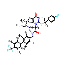 [2H]c1c([2H])c(-c2c([2H])c([2H])c(C(F)(F)F)c(C)c2[2H])c([2H])c([2H])c1CN(CCN(CC)CC)C(=O)C([2H])([2H])n1c(SC([2H])([2H])c2ccc(F)cc2)nc(=O)c2c1CCC2